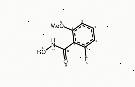 COc1cccc(F)c1C(=O)NO